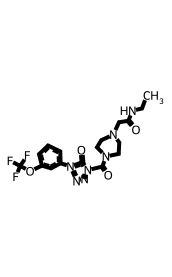 CCNC(=O)CN1CCN(C(=O)n2nnn(-c3cccc(OC(F)(F)F)c3)c2=O)CC1